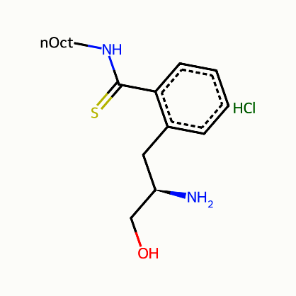 CCCCCCCCNC(=S)c1ccccc1C[C@@H](N)CO.Cl